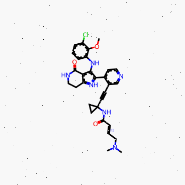 COc1c(Cl)cccc1Nc1c(-c2ccncc2C#CC2(NC(=O)/C=C/CN(C)C)CC2)[nH]c2c1C(=O)NCC2